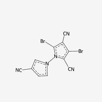 N#Cc1ccn(-n2c(Br)c(C#N)c(Br)c2C#N)c1